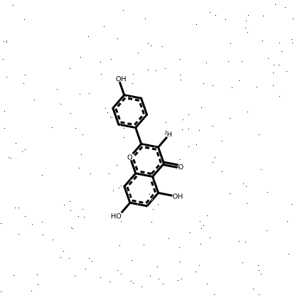 [2H]c1c(-c2ccc(O)cc2)oc2cc(O)cc(O)c2c1=O